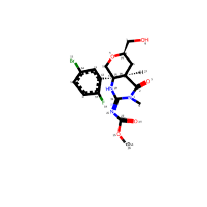 CN1C(=O)[C@@H]2C[C@H](CO)OC[C@]2(c2cc(Br)ccc2F)N/C1=N/C(=O)OC(C)(C)C